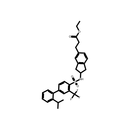 CCOC(=O)CCc1ccc2c(c1)CC(NS(=O)(=O)c1ccc(-c3ccccc3C(C)C)cc1C(F)(F)F)C2